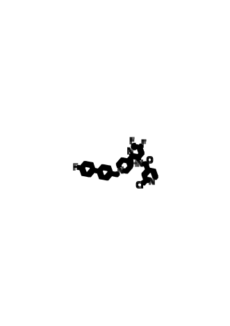 O=C(Nc1cc(F)c(F)nc1C1CCN(Cc2ccc(-c3ccc(F)cc3)cc2)CC1)c1ccnc(Cl)c1